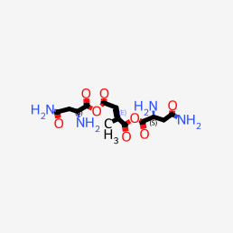 C/C(=C\C(=O)OC(=O)[C@@H](N)CC(N)=O)C(=O)OC(=O)[C@@H](N)CC(N)=O